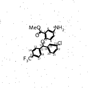 COC(=O)c1cc(N)ccc1OC(c1ccc(C(F)(F)F)cc1)c1cccc(Cl)c1